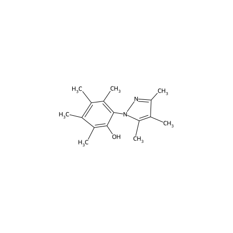 Cc1nn(-c2c(C)c(C)c(C)c(C)c2O)c(C)c1C